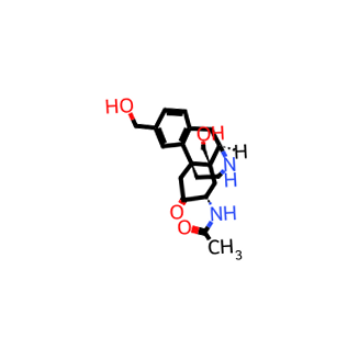 CC(=O)N[C@H]1C[C@@]2(CO)[C@H]3Cc4ccc(CO)cc4[C@@]2(CCN3)CC1=O